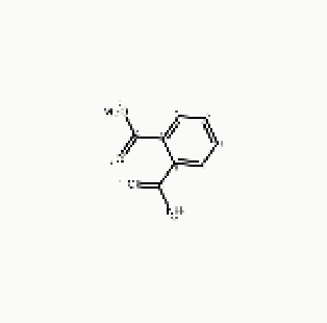 COC(=O)c1ccccc1C([NH])=O